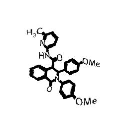 COc1ccc(C2C(C(=O)Nc3cccc(C)n3)c3ccccc3C(=O)N2c2ccc(OC)cc2)cc1